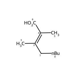 CCCCCC(C)=C(C)C(=O)O